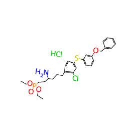 CCOP(=O)(CCC(N)CCCc1ccc(Sc2cccc(OCc3ccccc3)c2)cc1Cl)OCC.Cl